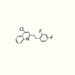 Fc1ccc(CCc2cc(Cl)c3ccccc3n2)c(F)c1